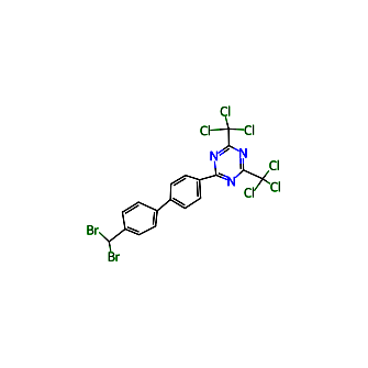 ClC(Cl)(Cl)c1nc(-c2ccc(-c3ccc(C(Br)Br)cc3)cc2)nc(C(Cl)(Cl)Cl)n1